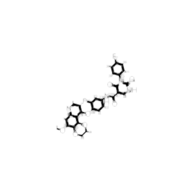 COc1cc2nccc(Oc3ccc(NC(=O)c4c[nH]c(=O)n(-c5ccc(F)cc5)c4=O)cc3F)c2c2c1OCCO2